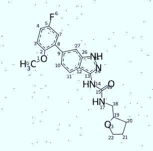 COc1ccc(F)cc1-c1ccc2c(NC(=O)NCC3CCCO3)n[nH]c2c1